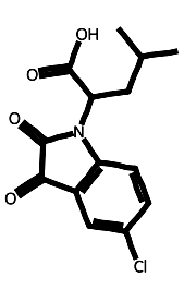 CC(C)CC(C(=O)O)N1C(=O)C(=O)c2cc(Cl)ccc21